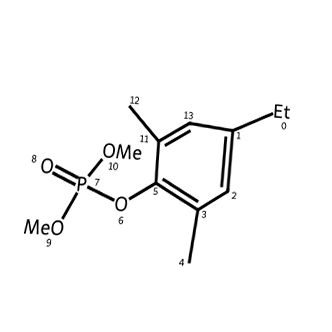 CCc1cc(C)c(OP(=O)(OC)OC)c(C)c1